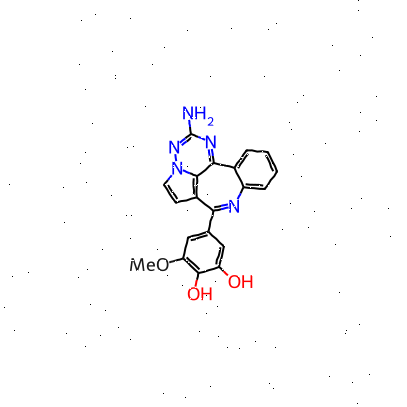 COc1cc(C2=Nc3ccccc3-c3nc(N)nn4ccc2c34)cc(O)c1O